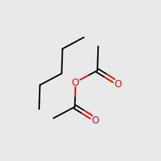 CC(=O)OC(C)=O.CCCCC